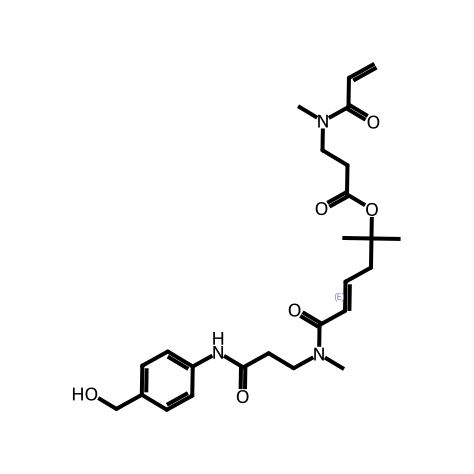 C=CC(=O)N(C)CCC(=O)OC(C)(C)C/C=C/C(=O)N(C)CCC(=O)Nc1ccc(CO)cc1